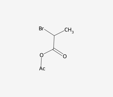 CC(=O)OC(=O)C(C)Br